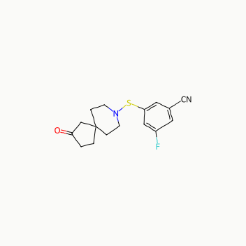 N#Cc1cc(F)cc(SN2CCC3(CCC(=O)C3)CC2)c1